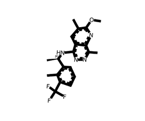 COc1nc2c(C)nnc(N[C@H](C)c3cccc(C(F)(F)F)c3C)c2cc1C